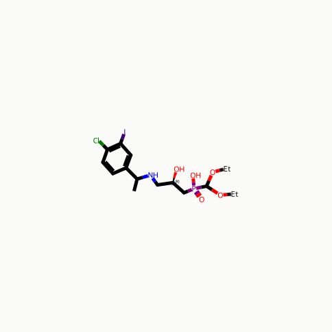 CCOC(OCC)P(=O)(O)C[C@H](O)CNC(C)c1ccc(Cl)c(I)c1